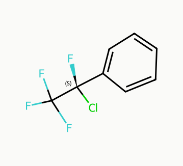 FC(F)(F)[C@@](F)(Cl)c1ccccc1